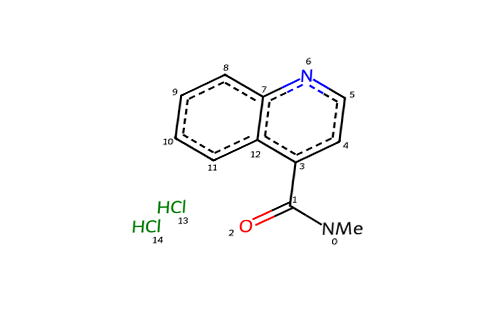 CNC(=O)c1ccnc2ccccc12.Cl.Cl